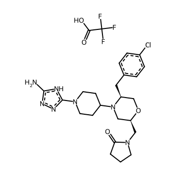 Nc1nnc(N2CCC(N3C[C@H](CN4CCCC4=O)OC[C@@H]3Cc3ccc(Cl)cc3)CC2)[nH]1.O=C(O)C(F)(F)F